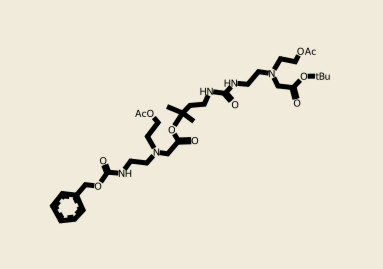 CC(=O)OCCN(CCNC(=O)NCCC(C)(C)OC(=O)CN(CCNC(=O)OCc1ccccc1)CCOC(C)=O)CC(=O)OC(C)(C)C